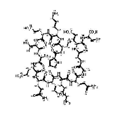 CC[C@H](C)[C@H](NC(=O)[C@@H](NC(=O)[C@H](CCC(=O)O)NC(=O)[C@H](CCCCN)NC(=O)[C@H](CO)NC(=O)[C@@H]1CCCN1)[C@@H](C)O)C(=O)N[C@@H](CCC(=O)O)C(=O)N[C@@H](CCC(N)=O)C(=O)N[C@@H](CCC(=O)O)C(=O)N[C@@H](CCCCN)C(=O)N[C@@H](CCC(N)=O)C(=O)N[C@@H](C)C(=O)NCC(=O)N[C@@H](CCC(=O)O)C(=O)N[C@@H](CO)C(=O)O